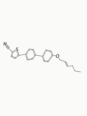 CCCC=CCOc1ccc(-c2ccc(-c3ccc(C#N)s3)cc2)cc1